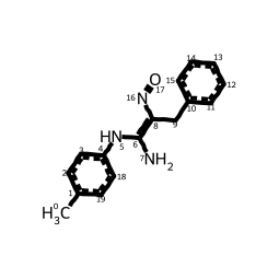 Cc1ccc(NC(N)=C(Cc2ccccc2)N=O)cc1